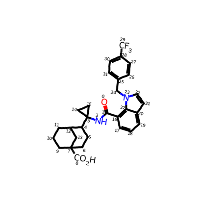 O=C(NC1(C2CCC3(C(=O)O)CCCC2C3)CC1)c1cccc2ccn(Cc3ccc(C(F)(F)F)cc3)c12